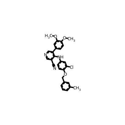 COc1ccc(-c2cncc(C#N)c2Nc2ccc(OCc3cccc(C)c3)c(Cl)c2)cc1OC